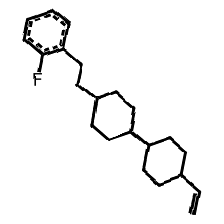 C=CC1CCC(C2CCC(CCc3ccccc3F)CC2)CC1